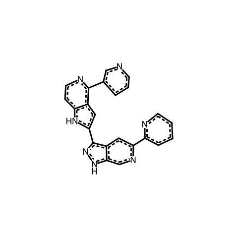 c1ccc(-c2cc3c(-c4cc5c(-c6cccnc6)nccc5[nH]4)n[nH]c3cn2)nc1